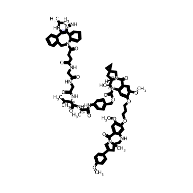 COc1ccc(C2=CN3C(=O)c4cc(OC)c(OCCCOc5cc6c(cc5OC)C(=O)N5CC7(CC7)C[C@H]5[C@H](O)N6C(=O)OCc5ccc(NC(=O)[C@H](C)NC(=O)[C@@H](NC(=O)CNC(=O)CNC(=O)CCC(=O)N6Cc7ccccc7/C(NC(C)C)=C(/N=N)c7ccccc76)C(C)C)cc5)cc4NCC3(C)C2)cc1